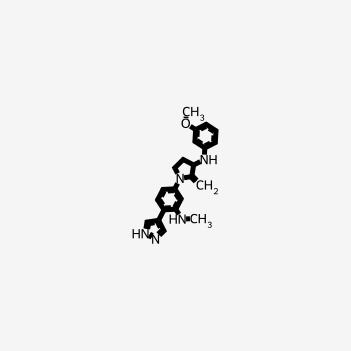 C=C1C(Nc2cccc(OC)c2)CCN1c1ccc(-c2cn[nH]c2)c(NC)c1